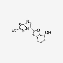 CCc1nn2c(-c3cc4cccc(O)c4o3)cnc2s1